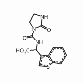 O=C(O)C(NC(=O)N1CCNC1=O)c1csc2ccccc12